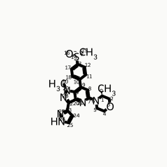 C[C@@H]1COCCN1c1cc(-c2ccc([S+](C)[O-])cc2)c2c(n1)c(-c1cc[nH]n1)nn2C